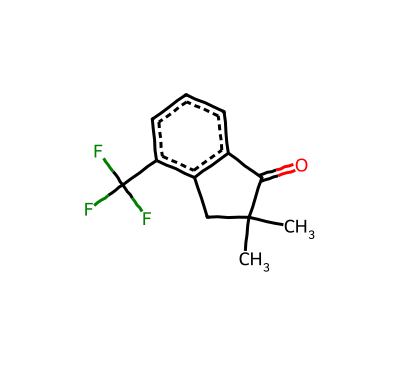 CC1(C)Cc2c(cccc2C(F)(F)F)C1=O